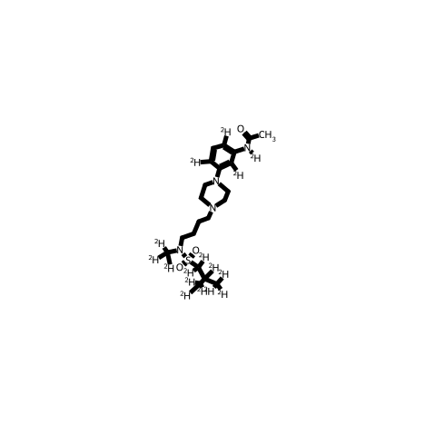 [2H]c1cc([2H])c(N([2H])C(C)=O)c([2H])c1N1CCN(CCCCN(C([2H])([2H])[2H])S(=O)(=O)C([2H])([2H])C([2H])(C([2H])([2H])[2H])C([2H])([2H])[2H])CC1